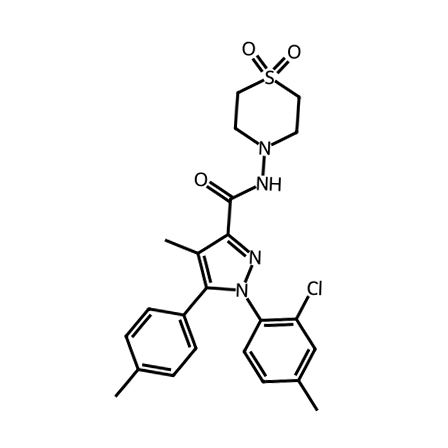 Cc1ccc(-c2c(C)c(C(=O)NN3CCS(=O)(=O)CC3)nn2-c2ccc(C)cc2Cl)cc1